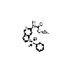 CC(C)(C)OC(=O)Nc1cc2c(ccn2S(=O)(=O)c2ccccc2)cn1